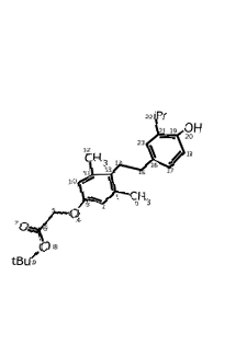 Cc1cc(OCC(=O)OC(C)(C)C)cc(C)c1CCc1ccc(O)c(C(C)C)c1